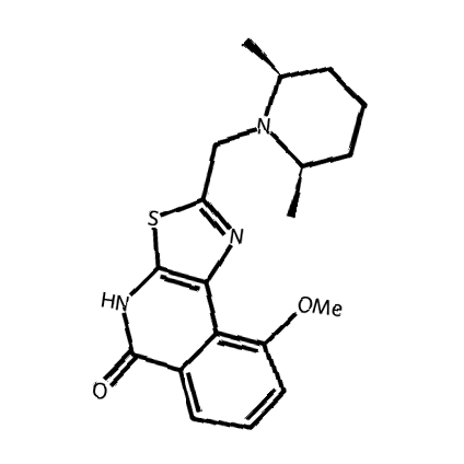 COc1cccc2c(=O)[nH]c3sc(CN4[C@H](C)CCC[C@@H]4C)nc3c12